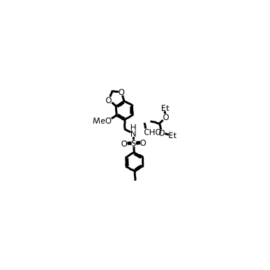 CC=O.CCOC(C)OCC.COc1c(CNS(=O)(=O)c2ccc(C)cc2)ccc2c1OCO2